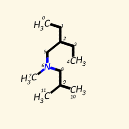 CCC(CC)CN(C)CC(C)C